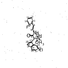 CP(=O)(O)C(C(=O)NC=Cc1ccccc1F)c1csc2ccc(Cl)cc12